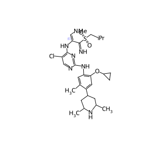 CN/C=C(/Nc1nc(Nc2cc(C)c(C3CC(C)NC(C)C3)cc2OC2CC2)ncc1Cl)C(=N)S(=O)(=O)CC(C)C